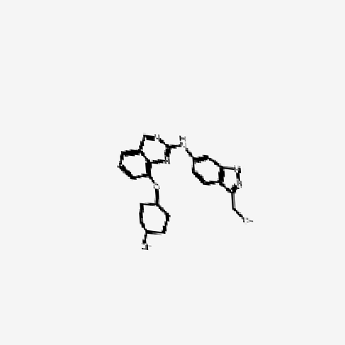 OCc1n[nH]c2cc(Nc3ncc4cccc(OC5CCC(O)CC5)c4n3)ccc12